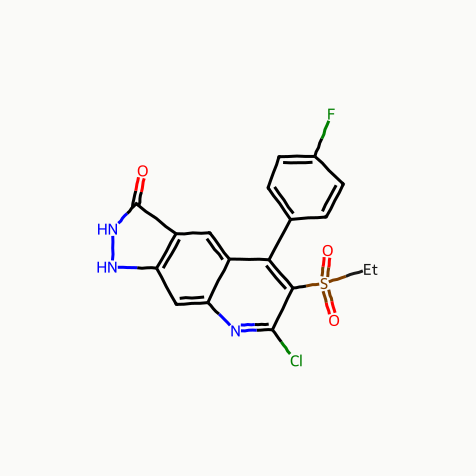 CCS(=O)(=O)c1c(Cl)nc2cc3[nH][nH]c(=O)c3cc2c1-c1ccc(F)cc1